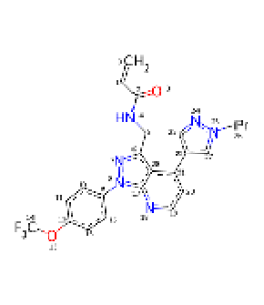 C=CC(=O)NCc1nn(-c2ccc(OC(F)(F)F)cc2)c2nccc(-c3cnn(C(C)C)c3)c12